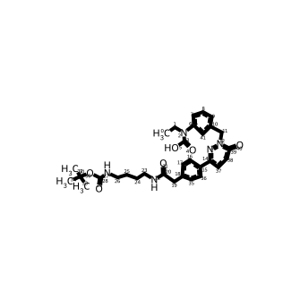 CCN(C(=O)O)c1cccc(Cn2nc(-c3ccc(CC(=O)NCCCCNC(=O)OC(C)(C)C)cc3)ccc2=O)c1